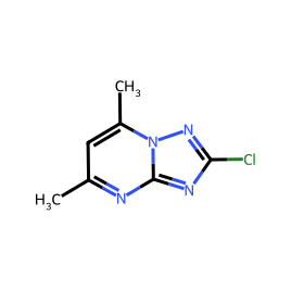 Cc1cc(C)n2nc(Cl)nc2n1